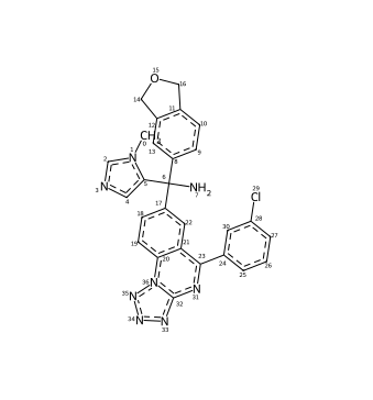 Cn1cncc1C(N)(c1ccc2c(c1)COC2)c1ccc2c(c1)c(-c1cccc(Cl)c1)nc1nnnn12